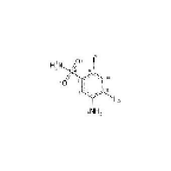 Nc1cc(S(N)(=O)=O)c(I)cc1I